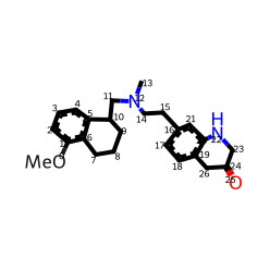 COc1cccc2c1CCCC2CN(C)CCc1ccc2c(c1)NCC(=O)C2